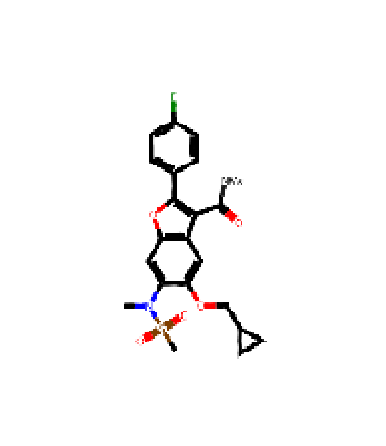 CNC(=O)c1c(-c2ccc(F)cc2)oc2cc(N(C)S(C)(=O)=O)c(OCC3CC3)cc12